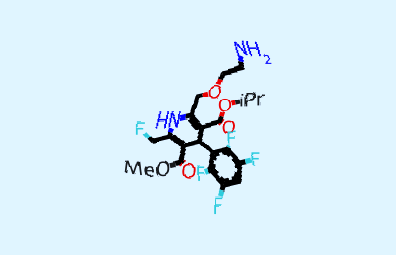 COC(=O)C1=C(CF)NC(COCCN)=C(C(=O)OC(C)C)C1c1c(F)c(F)cc(F)c1F